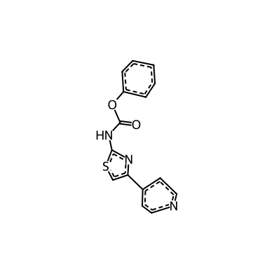 O=C(Nc1nc(-c2ccncc2)cs1)Oc1ccccc1